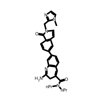 CCCN(CCC)C(=O)C1=Cc2ccc(-c3ccc4c(=O)n(Cc5nccn5C)ccc4c3)cc2N=C(N)C1